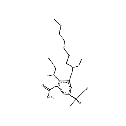 CCCCCCCC(CC)c1cc(C(F)(F)F)cc(C(N)=O)c1C(C)CC